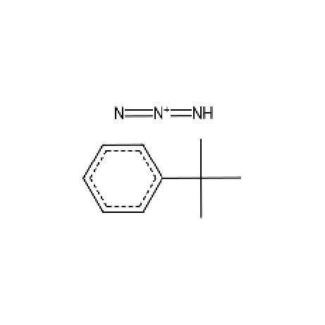 CC(C)(C)c1ccccc1.[N-]=[N+]=N